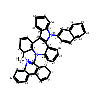 CC1CC=CC2=C1N(c1nc3ccccc3c3c1CCC=C3)c1ccccc1-c1c2c2ccccc2n1-c1ccc2ccccc2c1